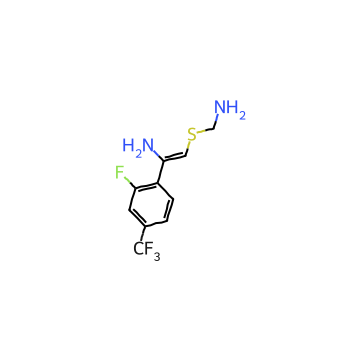 NCS/C=C(\N)c1ccc(C(F)(F)F)cc1F